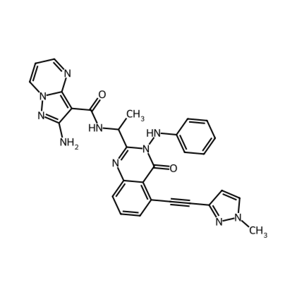 CC(NC(=O)c1c(N)nn2cccnc12)c1nc2cccc(C#Cc3ccn(C)n3)c2c(=O)n1Nc1ccccc1